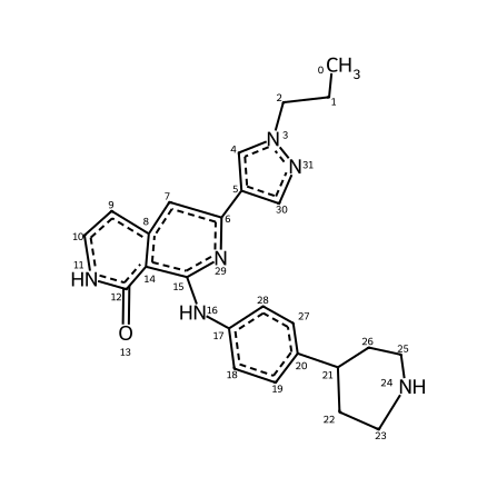 CCCn1cc(-c2cc3cc[nH]c(=O)c3c(Nc3ccc(C4CCNCC4)cc3)n2)cn1